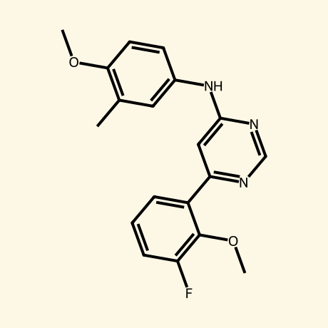 COc1ccc(Nc2cc(-c3cccc(F)c3OC)ncn2)cc1C